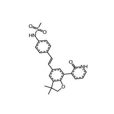 CC1(C)COc2c(-c3ccc[nH]c3=O)cc(/C=C/c3ccc(NS(C)(=O)=O)cc3)cc21